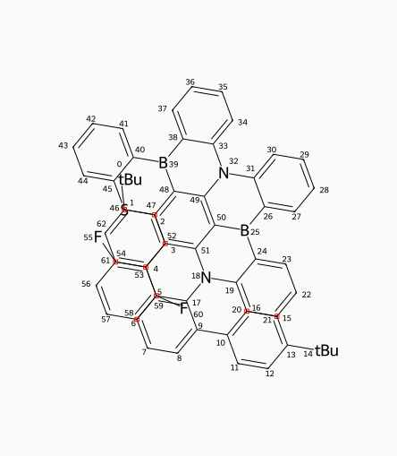 CC(C)(C)c1ccc(-c2cccc(-c3ccc(C(C)(C)C)cc3)c2N2c3ccccc3B3c4ccccc4N4c5ccccc5B5c6ccccc6Sc6c5c4c3c2c6-c2c(F)cccc2F)cc1